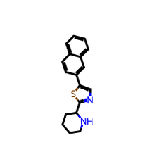 c1ccc2cc(-c3cnc(C4CCCCN4)s3)ccc2c1